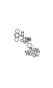 O=C(Nc1c2c(cc3c1CCC3)CCC2)NS(=O)(=O)C1CCN(C(O)(O)C(O)(O)O)CC1